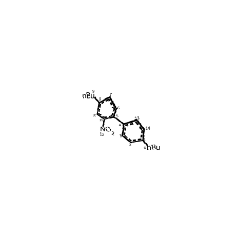 CCCCc1ccc(-c2ccc(CCCC)cc2[N+](=O)[O-])cc1